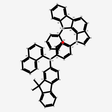 CC1(C)c2ccccc2-c2ccc(N(c3ccc(-n4ccc5ccc6c7ccccc7n(-c7ccccc7)c6c54)cc3)c3cccc4ccccc34)cc21